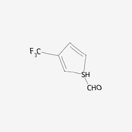 O=C[SH]1C=CC(C(F)(F)F)=C1